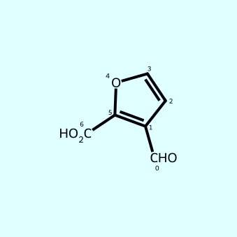 O=Cc1ccoc1C(=O)O